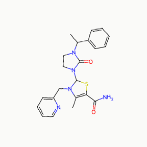 CC1=C(C(N)=O)SC(N2CCN(C(C)c3ccccc3)C2=O)N1Cc1ccccn1